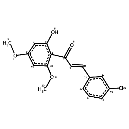 COc1cc(O)c(C(=O)/C=C/c2cccc(Cl)c2)c(OC)c1